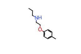 CCCNCCOc1ccc(C)cc1